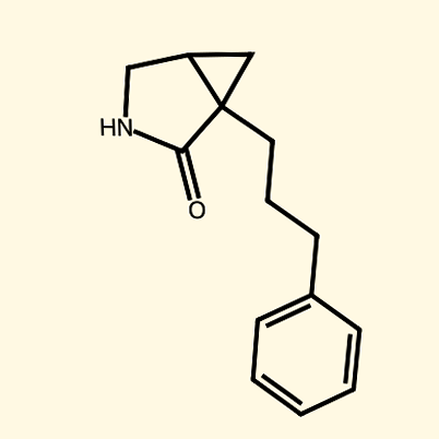 O=C1NCC2CC12CCCc1ccccc1